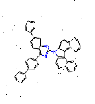 c1ccc(-c2ccc(-c3nc(-n4c5ccc6ccccc6c5c5c6ccccc6ccc54)nc4cc(-c5ccccc5)ccc34)cc2)cc1